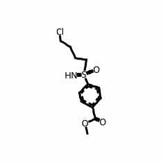 COC(=O)c1ccc(S(=N)(=O)CCCCCl)cc1